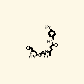 C=C(CCC(=O)NCc1ccc(C(C)C)cc1)NC(=O)COC(CCC)CC(F)CCl